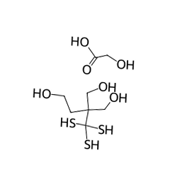 O=C(O)CO.OCCC(CO)(CO)C(S)(S)S